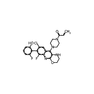 C=CC(=O)N1CCN(c2c3c(nc4c(F)c(-c5c(O)cccc5F)c(Cl)cc24)OCCN3)CC1